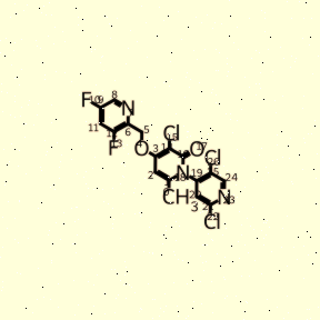 Cc1cc(OCc2ncc(F)cc2F)c(Cl)c(=O)n1-c1cc(Cl)ncc1Cl